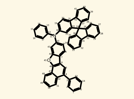 c1ccc(-c2cc3c4ccc(N(c5ccccc5)c5ccc6c(c5)C5(c7ccccc7-c7ccccc75)c5ccccc5-6)cc4oc3c3ccccc23)cc1